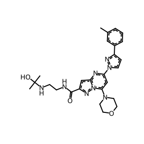 Cc1cccc(-c2ccn(-c3cc(N4CCOCC4)n4nc(C(=O)NCCNC(C)(C)O)cc4n3)n2)c1